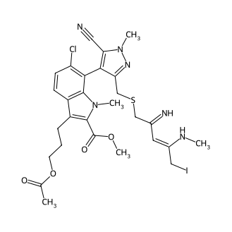 CN/C(=C\C(=N)CSCc1nn(C)c(C#N)c1-c1c(Cl)ccc2c(CCCOC(C)=O)c(C(=O)OC)n(C)c12)CI